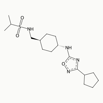 CC(C)S(=O)(=O)NC[C@H]1CC[C@H](Nc2nc(C3CCCC3)no2)CC1